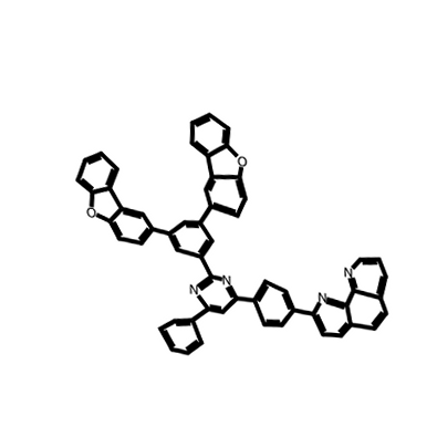 c1ccc(-c2cc(-c3ccc(-c4ccc5ccc6cccnc6c5n4)cc3)nc(-c3cc(-c4ccc5oc6ccccc6c5c4)cc(-c4ccc5oc6ccccc6c5c4)c3)n2)cc1